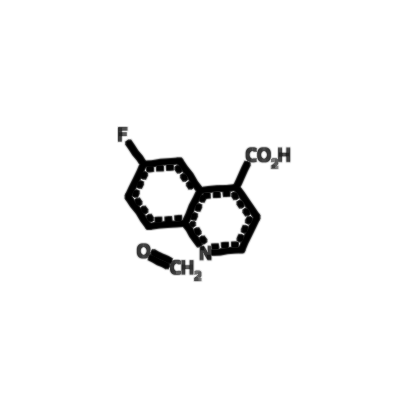 C=O.O=C(O)c1ccnc2ccc(F)cc12